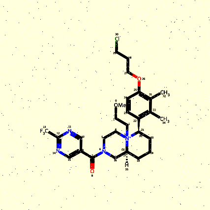 COCC[N+]12CCN(C(=O)c3cnc(C(F)(F)F)nc3)C[C@@H]1CCC[C@@H]2c1ccc(OCCCCl)c(C)c1C